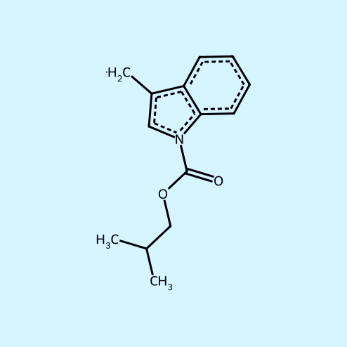 [CH2]c1cn(C(=O)OCC(C)C)c2ccccc12